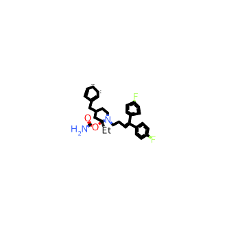 CCC1(OC(N)=O)CC(CC2=C[C][C]C=C2)CCN1CCC=C(c1ccc(F)cc1)c1ccc(F)cc1